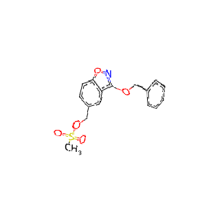 CS(=O)(=O)OCc1ccc2onc(OCc3ccccc3)c2c1